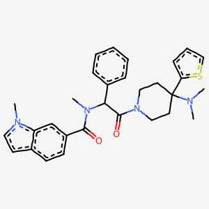 CN(C(=O)c1ccc2ccn(C)c2c1)C(C(=O)N1CCC(c2cccs2)(N(C)C)CC1)c1ccccc1